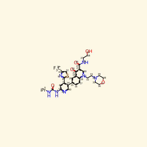 CC(C)NC(=O)Nc1cc(-c2nc(C(F)(F)F)cs2)c(-c2ccc3c(c2)c(=O)c(C(=O)NCCO)cn3CCN2CCOCC2)cn1